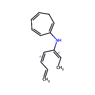 C=C/C=C\C(=C/C)NC1=CCC=CC=C1